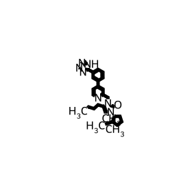 CCCCc1cn(C2CCCC2C(C)(C)C)c(=O)n1Cc1cc(-c2cccc(-c3nnn[nH]3)c2)ccn1